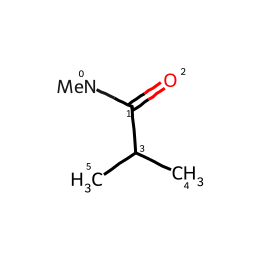 [CH2]NC(=O)C(C)C